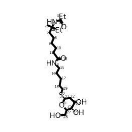 CCC(=O)NC(C)(CC)CCCCCC(=O)NCCCCCS[C@H]1CC(O)[C@@H](O)C(CO)O1